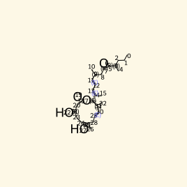 CCC[C@@H](C)[C@H]1O[C@@H]1C[C@H](C)/C=C/C=C(\C)[C@H]1OC(=O)C[C@H](O)CC[C@@](C)(O)C/C=C/[C@@H]1C